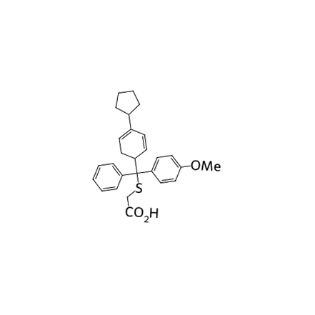 COc1ccc(C(SCC(=O)O)(c2ccccc2)C2C=CC(C3CCCC3)=CC2)cc1